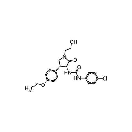 CCOc1ccc([C@H]2CN(CCO)C(=O)[C@@H]2NC(=O)Nc2ccc(Cl)cc2)cc1